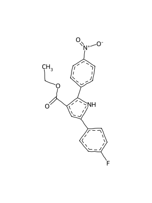 CCOC(=O)c1cc(-c2ccc(F)cc2)[nH]c1-c1ccc([N+](=O)[O-])cc1